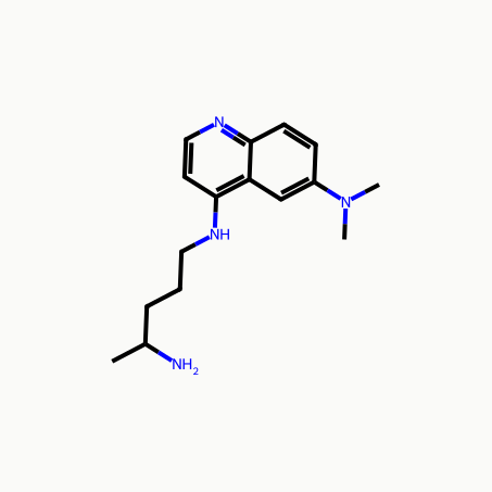 CC(N)CCCNc1ccnc2ccc(N(C)C)cc12